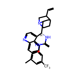 C=CC1CN2CCC1CC2[C@H](NC(=C)Nc1cc(C)cc(C(F)(F)F)c1)c1ccnc2ccccc12